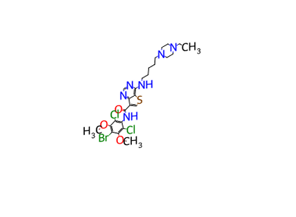 CCN1CCN(CCCCCNc2ncnc3c(C(=O)Nc4c(Cl)c(OC)c(Br)c(OC)c4Cl)csc23)CC1